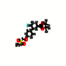 CC(C)S(=O)(=O)COc1ccc(-c2cc(B3OC(C)(C)C(C)(C)O3)ccc2F)cc1